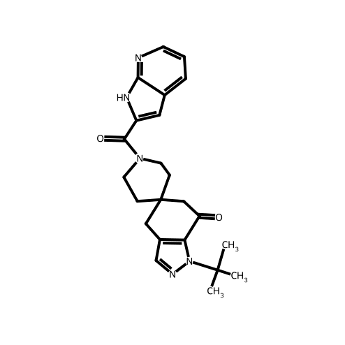 CC(C)(C)n1ncc2c1C(=O)CC1(CCN(C(=O)c3cc4cccnc4[nH]3)CC1)C2